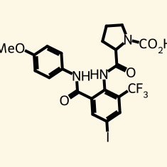 COc1ccc(NC(=O)c2cc(I)cc(C(F)(F)F)c2NC(=O)C2CCCN2C(=O)O)cc1